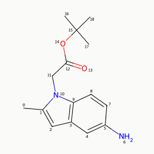 Cc1cc2cc(N)ccc2n1CC(=O)OC(C)(C)C